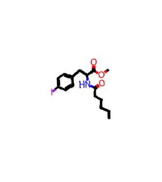 CCCCCC(=O)NC(Cc1ccc(I)cc1)C(=O)OC